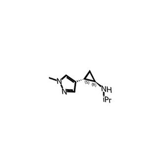 CC(C)N[C@@H]1C[C@H]1c1cnn(C)c1